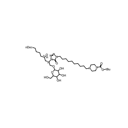 CCCCCCCCCCCCCC[C@@H](O)C[C@H](COC1OC(CO)C(O)C(O)C1O)n1nnn(CCCCCCCCCCN2CCN(C(=O)OC(C)(C)C)CC2)c1=O